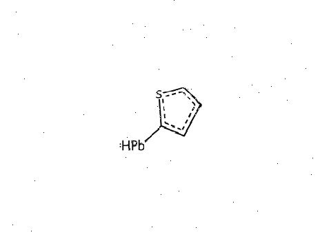 [PbH][c]1cccs1